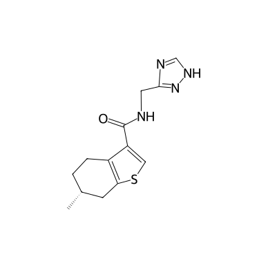 C[C@@H]1CCc2c(C(=O)NCc3nc[nH]n3)csc2C1